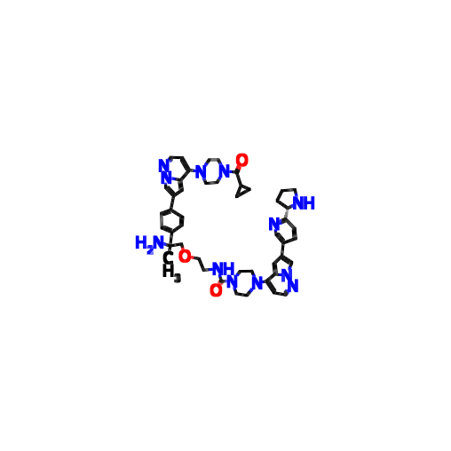 CC(N)(COCCNC(=O)N1CCN(c2ccnn3cc(-c4ccc([C@@H]5CCCN5)nc4)cc23)CC1)c1ccc(-c2cc3c(N4CCN(C(=O)C5CC5)CC4)ccnn3c2)cc1